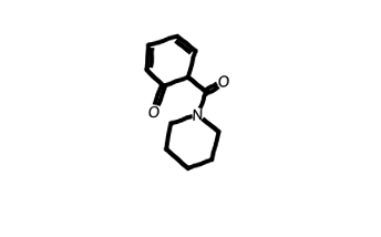 O=C1C=CC=CC1C(=O)N1CCCCC1